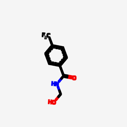 O=C(NCO)c1ccc(C(F)(F)F)cc1